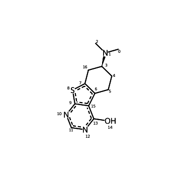 CN(C)[C@H]1CCc2c(sc3ncnc(O)c23)C1